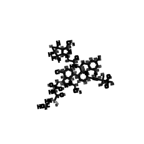 C[C@H](NC(=O)O)C(=O)NS(=O)(=O)Cc1nn(CC(F)(F)F)c2c(-c3ccc(C#CC(C)(C)S(C)(=O)=O)nc3[C@H](Cc3cc(F)cc(F)c3)NC(=O)Cn3nc(C(F)(F)F)c4c3C(F)(F)[C@@H]3C[C@H]43)ccc(Cl)c12